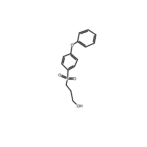 O=S(=O)(CCCO)c1ccc(Oc2ccccc2)cc1